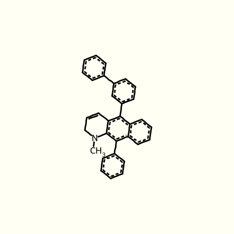 CN1CC=Cc2c1c(-c1ccccc1)c1ccccc1c2-c1cccc(-c2ccccc2)c1